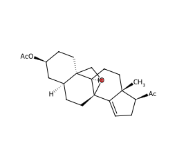 CC(=O)O[C@H]1CC[C@@]23CO[C@]4(CC[C@H]2C1)C1=CC[C@H](C(C)=O)[C@@]1(C)CC[C@H]34